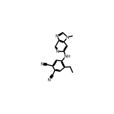 CCc1cc(C#N)c(C#N)cc1Nc1cc2c(cn1)ncn2C